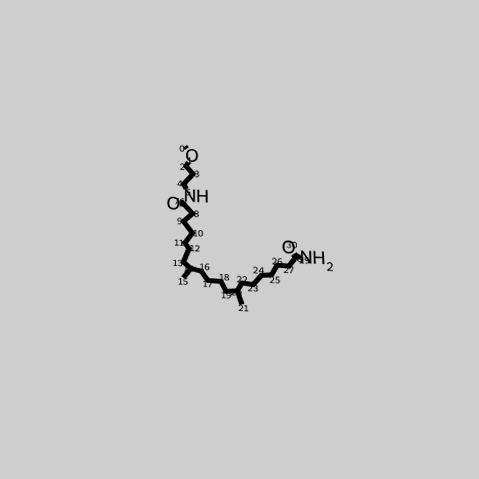 COCCCNC(=O)CCCCCCC(C)CCCCC(C)CCCCCCC(N)=O